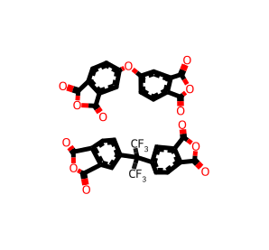 O=C1OC(=O)c2cc(C(c3ccc4c(c3)C(=O)OC4=O)(C(F)(F)F)C(F)(F)F)ccc21.O=C1OC(=O)c2cc(Oc3ccc4c(c3)C(=O)OC4=O)ccc21